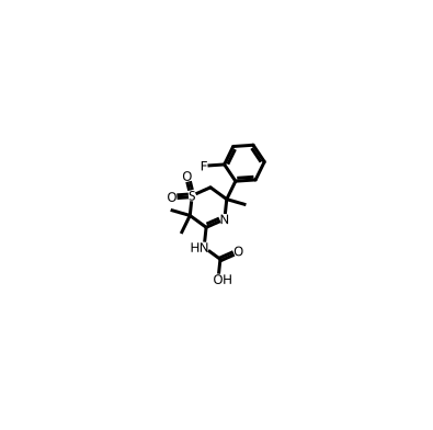 CC1(c2ccccc2F)CS(=O)(=O)C(C)(C)C(NC(=O)O)=N1